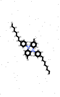 CCCCCCCCc1ccc(N2c3ccc(C)cc3N(c3ccc(CCCCCCCC)cc3)c3ccc(C)cc32)cc1